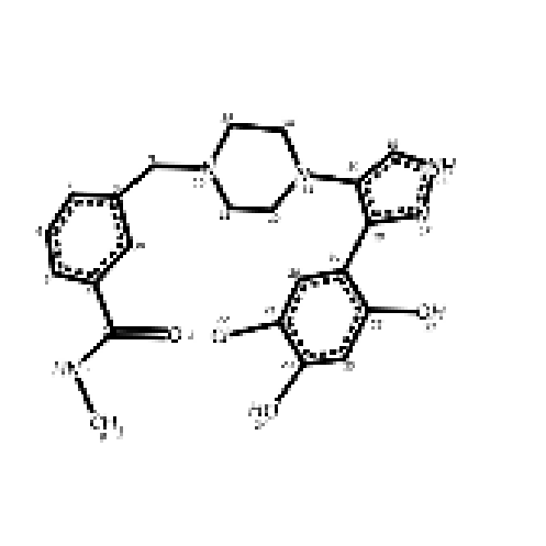 CNC(=O)c1cccc(CN2CCN(c3c[nH]nc3-c3cc(Cl)c(O)cc3O)CC2)c1